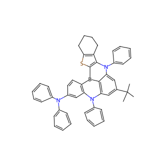 CC(C)(C)c1cc2c3c(c1)N(c1ccccc1)c1c(sc4c1CCCC4)B3c1ccc(N(c3ccccc3)c3ccccc3)cc1N2c1ccccc1